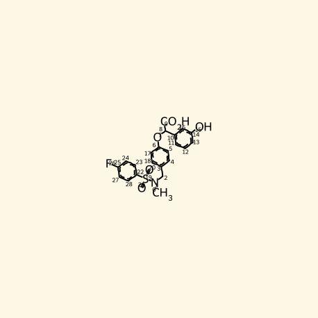 CN(Cc1ccc(OC(C(=O)O)c2cccc(O)c2)cc1)S(=O)(=O)c1ccc(F)cc1